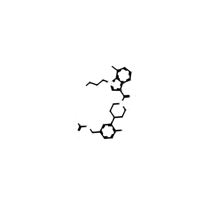 Cc1cccc2c(C(=O)N3CCC(c4cc(CNC(=O)C(F)(F)F)ccc4F)CC3)cn(CCCF)c12